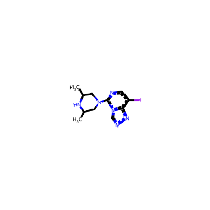 CC1CN(c2ncc(I)c3nncn23)CC(C)N1